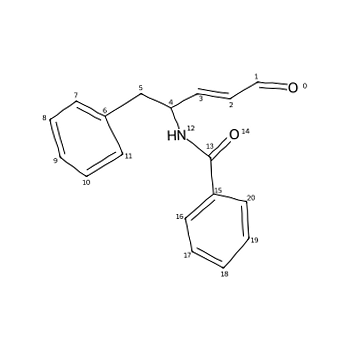 O=CC=CC(Cc1ccccc1)NC(=O)c1ccccc1